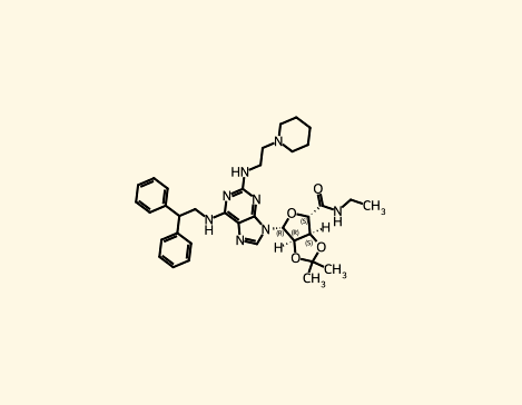 CCNC(=O)[C@H]1O[C@@H](n2cnc3c(NCC(c4ccccc4)c4ccccc4)nc(NCCN4CCCCC4)nc32)[C@@H]2OC(C)(C)O[C@@H]21